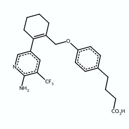 Nc1ncc(C2=C(COc3ccc(CCCC(=O)O)cc3)CCCC2)cc1C(F)(F)F